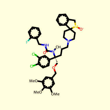 COc1cc(COC[C@](CCCN2CCC3(CC2)c2ccccc2C[S+]3[O-])(c2ccc(Cl)c(Cl)c2)N(C)C(=O)NCc2ccccc2F)cc(OC)c1OC